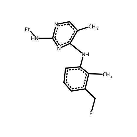 CCNc1ncc(C)c(Nc2cccc(CF)c2C)n1